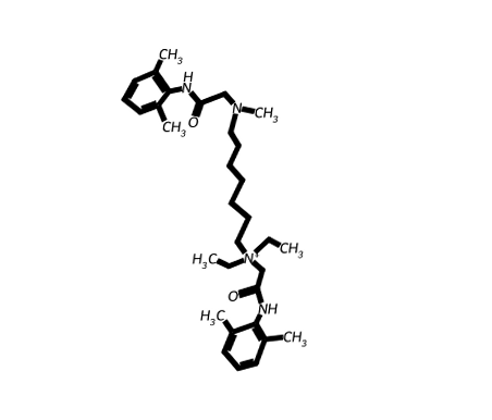 CC[N+](CC)(CCCCCCCN(C)CC(=O)Nc1c(C)cccc1C)CC(=O)Nc1c(C)cccc1C